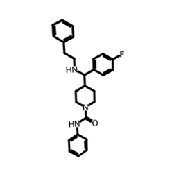 O=C(Nc1ccccc1)N1CCC(C(NCCc2ccccc2)c2ccc(F)cc2)CC1